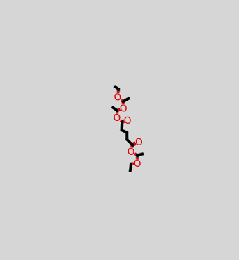 CCOC(C)OC(=O)CCCC(=O)OC(C)OC(C)OCC